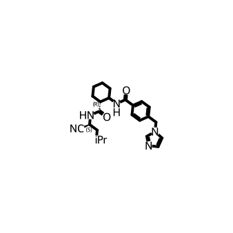 CC(C)C[C@@H](C#N)NC(=O)[C@@H]1CCCCC1NC(=O)c1ccc(Cn2ccnc2)cc1